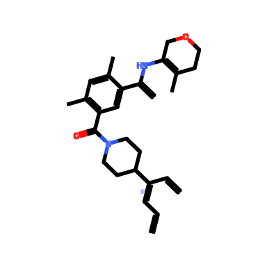 C=C/C=C(\C=C)C1CCN(C(=O)c2cc(C(=C)NC3=C(C)CCOC3)c(C)cc2C)CC1